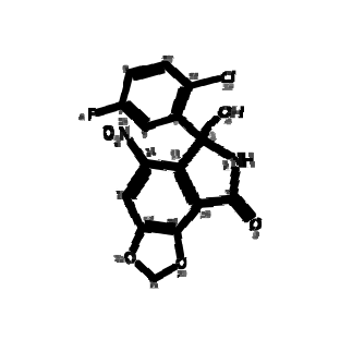 O=C1NC(O)(c2cc(F)ccc2Cl)c2c([N+](=O)[O-])cc3c(c21)OCO3